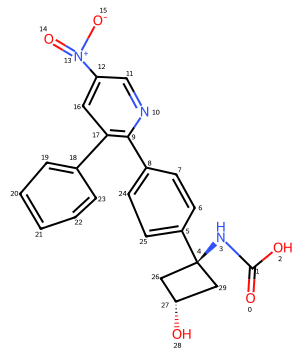 O=C(O)N[C@]1(c2ccc(-c3ncc([N+](=O)[O-])cc3-c3ccccc3)cc2)C[C@@H](O)C1